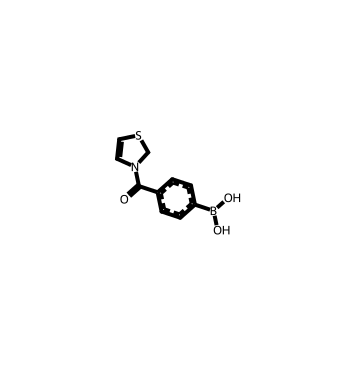 O=C(c1ccc(B(O)O)cc1)N1C=CSC1